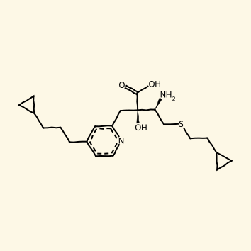 N[C@@H](CSCCC1CC1)[C@](O)(Cc1cc(CCCC2CC2)ccn1)C(=O)O